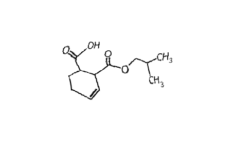 CC(C)COC(=O)C1C=CCCC1C(=O)O